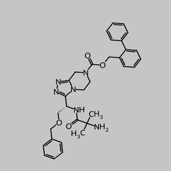 CC(C)(N)C(=O)N[C@H](COCc1ccccc1)c1nnc2n1CCN(C(=O)OCc1ccccc1-c1ccccc1)C2